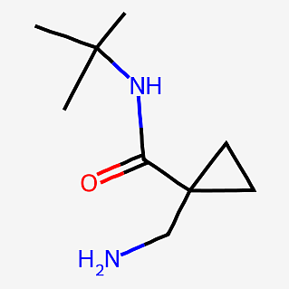 CC(C)(C)NC(=O)C1(CN)CC1